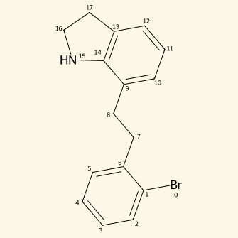 Brc1ccccc1CCc1cccc2c1NCC2